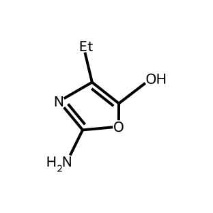 CCc1nc(N)oc1O